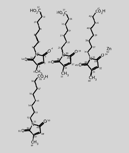 CC1=CC(=O)N(CCCCCCC(=O)O)C1=O.CC1=CC(=O)N(CCCCCCC(=O)O)C1=O.CC1=CC(=O)N(CCCCCCCC(=O)O)C1=O.CC1=CC(=O)N(CCCCCCCC(=O)O)C1=O.[Zn]